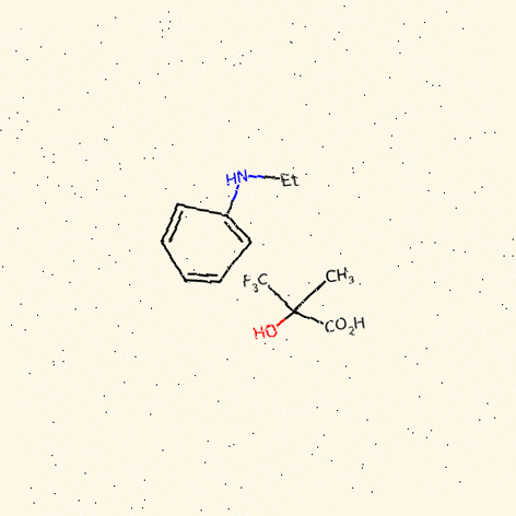 CC(O)(C(=O)O)C(F)(F)F.CCNc1ccccc1